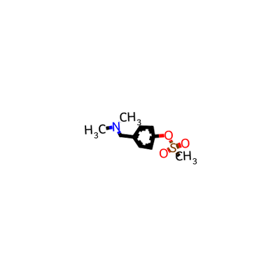 CN(C)Cc1ccc(OS(C)(=O)=O)cc1